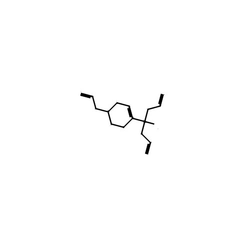 C=CCC1CC=C(C(O)(CC=C)CC=C)CC1